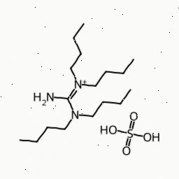 CCCCN(CCCC)C(N)=[N+](CCCC)CCCC.O=S(=O)(O)O